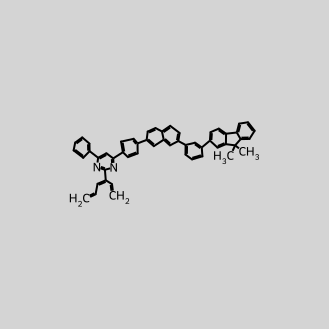 C=C/C=C(\C=C)c1nc(-c2ccccc2)cc(-c2ccc(-c3ccc4ccc(-c5cccc(-c6ccc7c(c6)C(C)(C)c6ccccc6-7)c5)cc4c3)cc2)n1